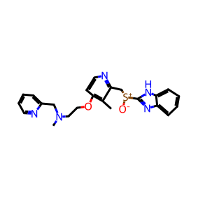 Cc1c(OCCN(C)Cc2ccccn2)ccnc1C[S+]([O-])c1nc2ccccc2[nH]1